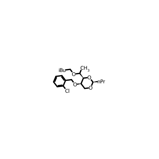 CCC[C@H]1OC[C@@H](OCc2ccccc2Cl)[C@@H](C(C)OCC(C)CC)O1